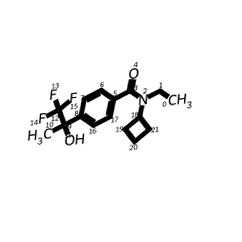 CCN(C(=O)c1ccc(C(C)(O)C(F)(F)F)cc1)C1CCC1